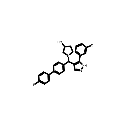 OC1CCN(C(c2ccc(-c3ccc(F)cc3)cc2)c2cn[nH]c2-c2cccc(Cl)c2)C1